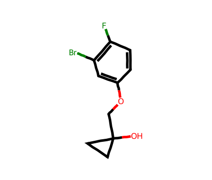 OC1(COc2ccc(F)c(Br)c2)CC1